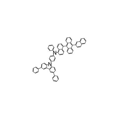 c1ccc(-c2ccc3c(c2)c2cc(-c4ccccc4)ccc2n3-c2ccc(N(c3ccccc3)c3cccc4c(-c5c6ccccc6c(-c6ccc7ccccc7c6)c6ccccc56)cccc34)cc2)cc1